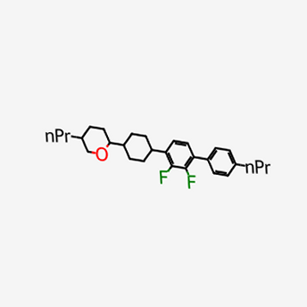 CCCc1ccc(-c2ccc(C3CCC(C4CCC(CCC)CO4)CC3)c(F)c2F)cc1